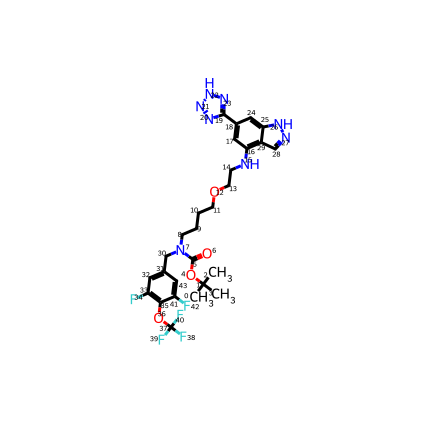 CC(C)(C)OC(=O)N(CCCCOCCNc1cc(-c2nn[nH]n2)cc2[nH]ncc12)Cc1cc(F)c(OC(F)(F)F)c(F)c1